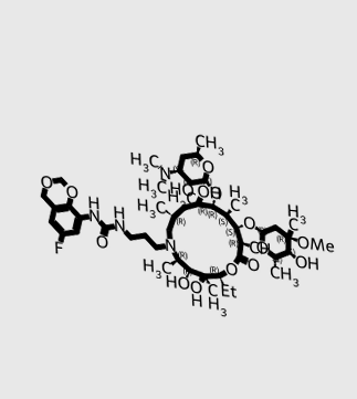 CC[C@H]1OC(=O)[C@H](C)[C@@H](O[C@H]2C[C@@](C)(OC)[C@@H](O)[C@H](C)O2)[C@H](C)[C@@H](O[C@@H]2O[C@H](C)C[C@H](N(C)C)[C@H]2O)[C@](C)(O)C[C@@H](C)CN(CCCNC(=O)Nc2cc(F)cc3c2OCOC3)[C@H](C)[C@@H](O)[C@]1(C)O